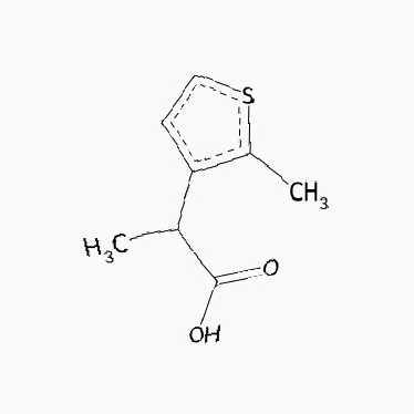 Cc1sccc1C(C)C(=O)O